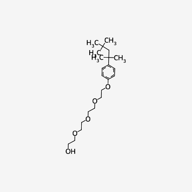 CC(C)(C)CC(C)(C)c1ccc(OCCOCCOCCOCCO)cc1